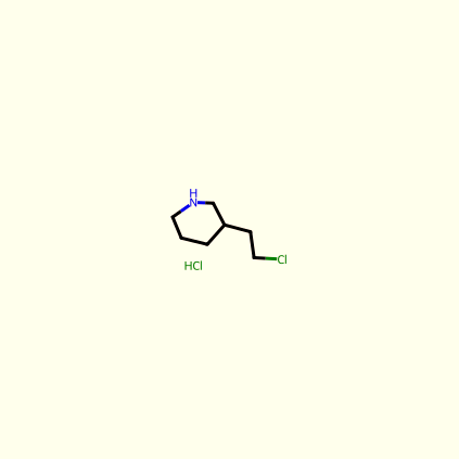 Cl.ClCCC1CCCNC1